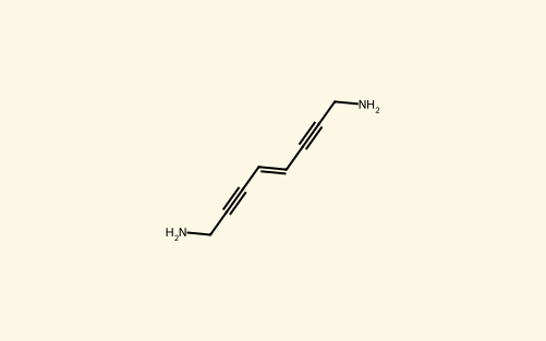 NCC#CC=CC#CCN